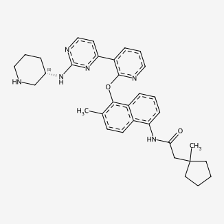 Cc1ccc2c(NC(=O)CC3(C)CCCC3)cccc2c1Oc1ncccc1-c1ccnc(N[C@H]2CCCNC2)n1